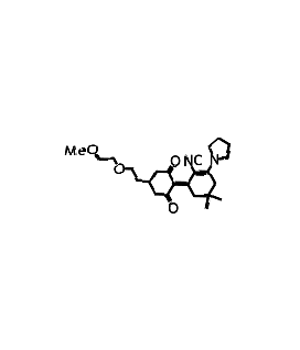 COCCOCCC1CC(=O)C(=C2CC(C)(C)CC(N3CCCC3)=C2C#N)C(=O)C1